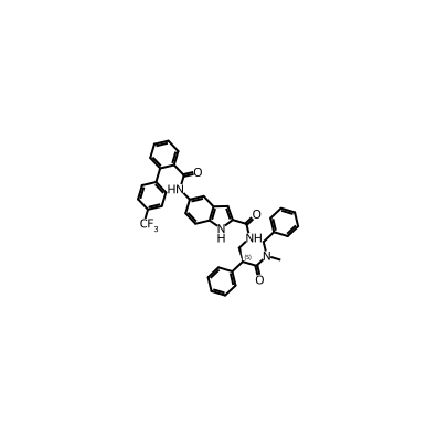 CN(Cc1ccccc1)C(=O)[C@H](CNC(=O)c1cc2cc(NC(=O)c3ccccc3-c3ccc(C(F)(F)F)cc3)ccc2[nH]1)c1ccccc1